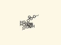 CCCCOCCOC(=O)c1ccc(C2C(O)[C@@]3(O)C(c4ccc(C)cc4)[C@@](O)([C@H](O)CO)[C@@]23O)cc1